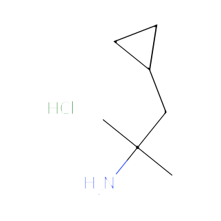 CC(C)(N)CC1CC1.Cl